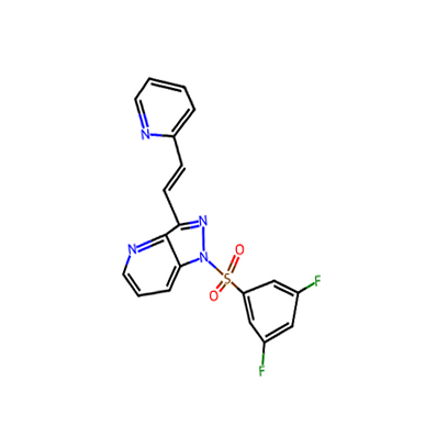 O=S(=O)(c1cc(F)cc(F)c1)n1nc(C=Cc2ccccn2)c2ncccc21